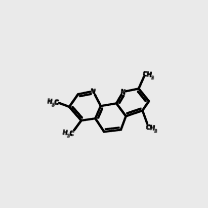 Cc1cc(C)c2ccc3c(C)c(C)cnc3c2n1